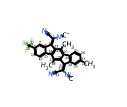 [C-]#[N+]/C(C#N)=C1/c2cc(C(F)(F)F)ccc2-c2c(C)c3c(c(C)c21)-c1ccc(C)cc1/C3=C(/C#N)[N+]#[C-]